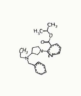 CCN(Cc1ccccc1)C1CCN(c2ncccc2C(=O)OC(C)C)C1